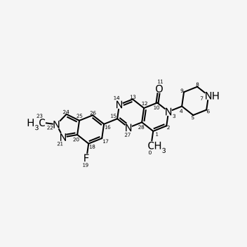 Cc1cn(C2CCNCC2)c(=O)c2cnc(-c3cc(F)c4nn(C)cc4c3)nc12